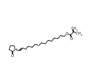 C=C(C)C(=O)OCCCCCCCCCCCCCC=CN1CCCC1=O